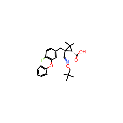 CC(C)(C)CON=C[C@@]1(Cc2ccc(F)c(Oc3ccccc3)c2)[C@@H](C(=O)O)C1(C)C